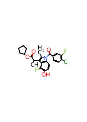 Cc1c(C(C)C(=O)OC2CCCC2)c2c(F)c(O)ccc2n1C(=O)c1ccc(Cl)c(F)c1